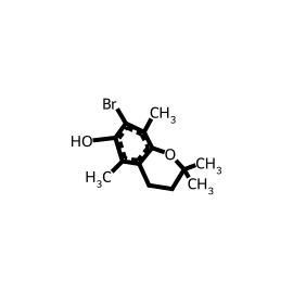 Cc1c(O)c(Br)c(C)c2c1CCC(C)(C)O2